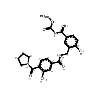 CCCCCCOC(=O)NC(=N)c1ccc(O)c(CNC(=O)c2ccc(C(=O)N3CCCC3)c(C)c2)c1